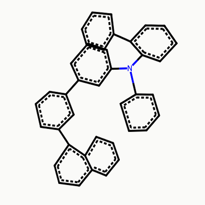 c1ccc(-c2ccccc2N(c2ccccc2)c2cccc(-c3cccc(-c4cccc5ccccc45)c3)c2)cc1